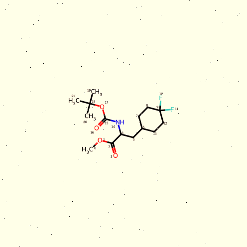 COC(=O)C(CC1CCC(F)(F)CC1)NC(=O)OC(C)(C)C